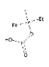 CCC(C)(CC)O[P](=O)O